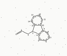 C=CCC1c2ccccc2-c2ccccc21